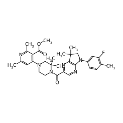 COC(=O)c1c(N2CCN(C(=O)c3cnc4c(n3)C(C)(C)CN4c3ccc(C)c(F)c3)C(C)(C)C2)cc(C)nc1C